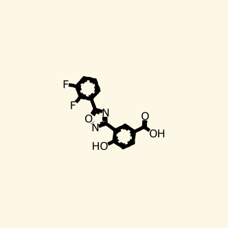 O=C(O)c1ccc(O)c(-c2noc(-c3cccc(F)c3F)n2)c1